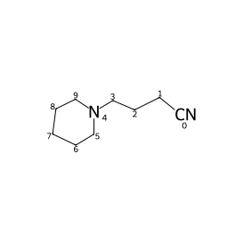 N#CCCCN1CCCCC1